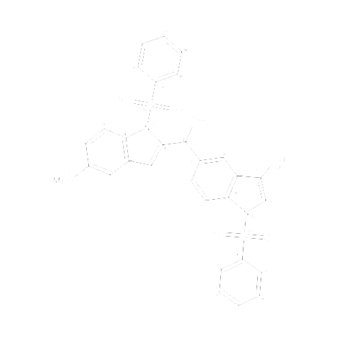 COc1ccc2c(c1)cc(C(O)c1ccc3c(c1)c(C)cn3S(=O)(=O)c1ccccc1)n2S(=O)(=O)c1ccccc1